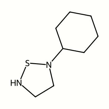 C1CCC(N2CCNS2)CC1